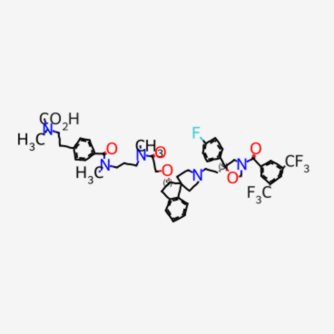 CN(CCc1ccc(C(=O)N(C)CCCN(C)C(=O)CO[C@H]2Cc3ccccc3C23CCN(CC[C@]2(c4ccc(F)cc4)CN(C(=O)c4cc(C(F)(F)F)cc(C(F)(F)F)c4)CO2)CC3)cc1)C(=O)O